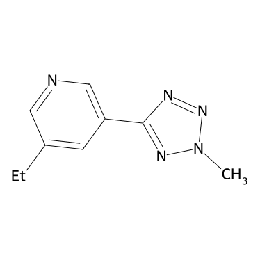 CCc1cncc(-c2nnn(C)n2)c1